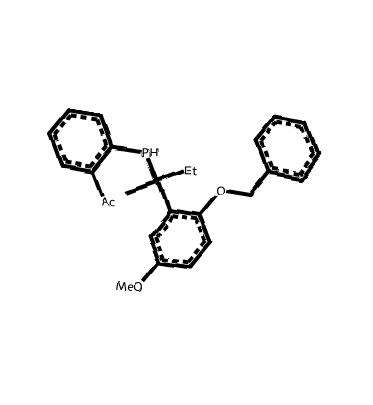 CCC(C)(Pc1ccccc1C(C)=O)c1cc(OC)ccc1OCc1ccccc1